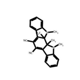 CN1c2ccccc2C2=C(C#N)C(C#N)=C3c4ccccc4N(C)C3(C)C21C